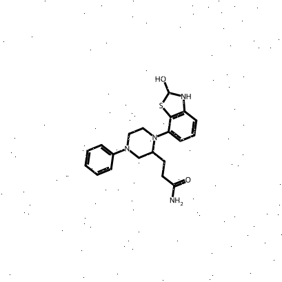 NC(=O)CCC1CN(c2ccccc2)CCN1c1cccc2c1SC(O)N2